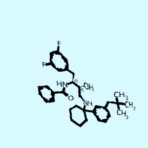 CC(C)(C)Cc1cccc(C2(NC[C@@H](O)[C@H](Cc3cc(F)cc(F)c3)NC(=O)c3ccccc3)CCCCC2)c1